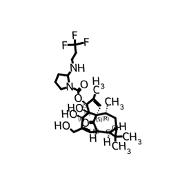 CC1=C[C@]23C(=O)[C@@H](C=C(CO)[C@@H](O)[C@]2(O)[C@H]1OC(=O)N1CCCC1NCCC(F)(F)F)[C@H]1[C@@H](C[C@H]3C)C1(C)C